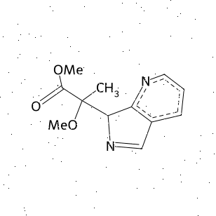 COC(=O)C(C)(OC)C1N=Cc2cccnc21